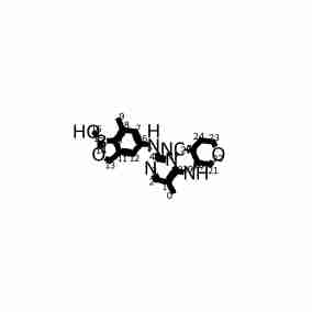 Cc1cnc(Nc2cc(C)c3c(c2)COB3O)nc1N[C@@H]1COCC[C@H]1C#N